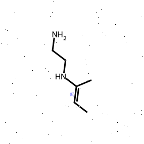 C/C=C(\C)NCCN